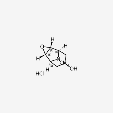 CN1[C@@H]2CC(O)C[C@H]1[C@@H]1O[C@@H]12.Cl